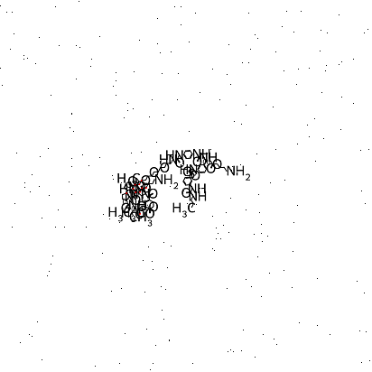 CCCNC(=O)Nc1cccc(S(=O)(=O)Nc2cccc([C@@H](CC(=O)OCCCN)NC(=O)Nc3ccc(NC(=O)NCCOCCOCCOCCC(=O)N[C@@H](CC(=O)OCCCN)C(=O)N4CCC[C@H]4C(=O)N[C@H](C(=O)O[C@]4(CC)C(=O)OCc5c4cc4n(c5=O)Cc5c-4nc4ccccc4c5CC)C(C)C)cc3)c2)c1